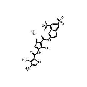 Cc1c(N)c[nH]c1C(=O)Nc1c[nH]c(C(=O)Nc2ccc3cc(S(=O)(=O)[O-])cc(S(=O)(=O)[O-])c3c2)c1C.[Na+].[Na+]